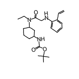 C=Cc1ccccc1NCC(=O)N(CC)C1CCCC(NC(=O)OC(C)(C)C)C1